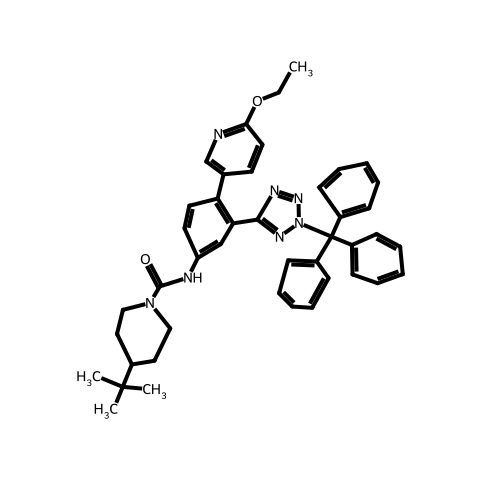 CCOc1ccc(-c2ccc(NC(=O)N3CCC(C(C)(C)C)CC3)cc2-c2nnn(C(c3ccccc3)(c3ccccc3)c3ccccc3)n2)cn1